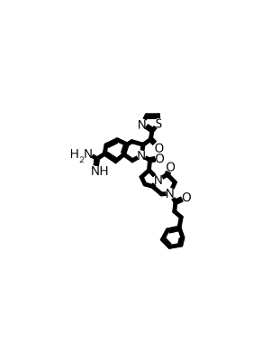 N=C(N)c1ccc2c(c1)CN(C(=O)C1CCC3CN(C(=O)CCc4ccccc4)CC(=O)N31)C(C(=O)c1nccs1)C2